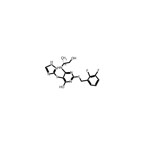 C[C@H](CO)Nc1nc(SCc2cccc(F)c2F)nc(O)c1Sc1nc[nH]n1